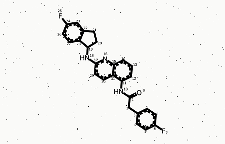 O=C(Cc1ccc(F)cc1)Nc1cccc2nc(NC3CCc4cc(F)ccc43)ccc12